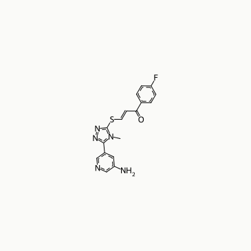 Cn1c(S/C=C/C(=O)c2ccc(F)cc2)nnc1-c1cncc(N)c1